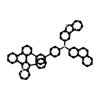 c1ccc(-c2c3c4c(-c5cccc(-c6ccc(N(c7ccc8c(ccc9ccccc98)c7)c7ccc8sc9ccccc9c8c7)cc6)c5)cccc4c4ccccc4c3n3ccccc23)cc1